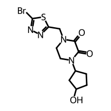 O=C1C(=O)N(C2CCC(O)C2)CCN1Cc1nnc(Br)s1